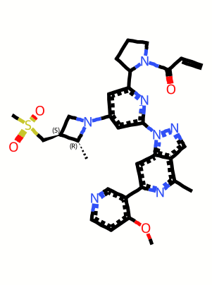 C=CC(=O)N1CCCC1c1cc(N2C[C@H](CS(C)(=O)=O)[C@H]2C)cc(-n2ncc3c(C)nc(-c4cnccc4OC)cc32)n1